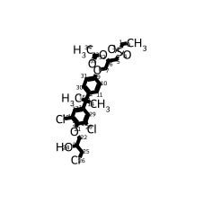 CCS(=O)(=O)CC(COc1ccc(C(C)(C)c2cc(Cl)c(OCC(O)CCl)c(Cl)c2)cc1)OC(C)=O